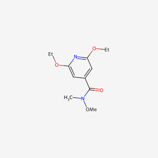 CCOc1cc(C(=O)N(C)OC)cc(OCC)n1